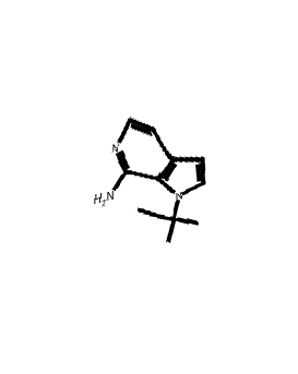 CC(C)(C)n1ccc2ccnc(N)c21